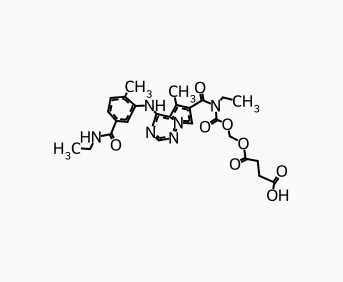 CCNC(=O)c1ccc(C)c(Nc2ncnn3cc(C(=O)N(CC)C(=O)OCOC(=O)CCC(=O)O)c(C)c23)c1